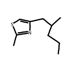 CCCC(C)Cc1csc(C)n1